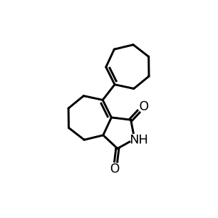 O=C1NC(=O)C2CCCCC(C3=CCCCCC3)=C12